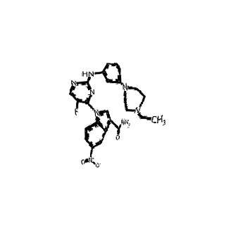 CCN1CCN(c2cccc(Nc3ncc(F)c(-n4cc(C(N)=O)c5cc([N+](=O)[O-])ccc54)n3)c2)CC1